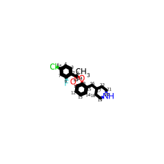 CC1(c2ccc(Cl)cc2F)Oc2cccc(CC3CCNCC3)c2O1